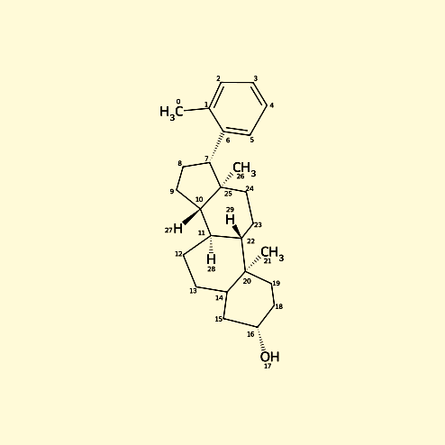 Cc1ccccc1[C@H]1CC[C@H]2[C@@H]3CCC4C[C@@H](O)CC[C@]4(C)[C@H]3CC[C@]12C